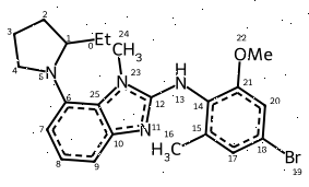 CCC1CCCN1c1cccc2nc(Nc3c(C)cc(Br)cc3OC)n(C)c12